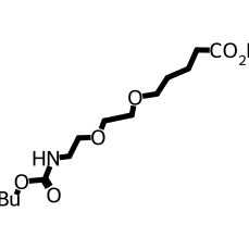 CC(C)(C)OC(=O)NCCOCCOCCCCC(=O)O